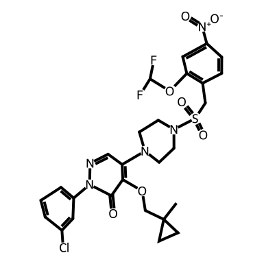 CC1(COc2c(N3CCN(S(=O)(=O)Cc4ccc([N+](=O)[O-])cc4OC(F)F)CC3)cnn(-c3cccc(Cl)c3)c2=O)CC1